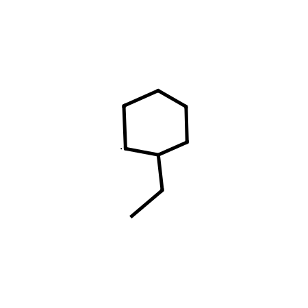 CCC1[CH]CCCC1